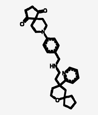 O=C1CCC(=O)C12CCN(c1ccc(CNCCC3(c4ccccn4)CCOC4(CCCC4)C3)cc1)CC2